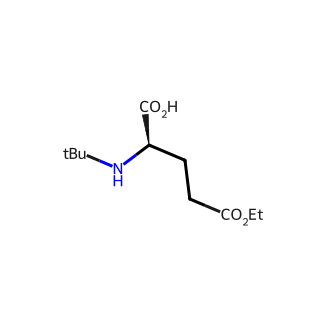 CCOC(=O)CC[C@@H](NC(C)(C)C)C(=O)O